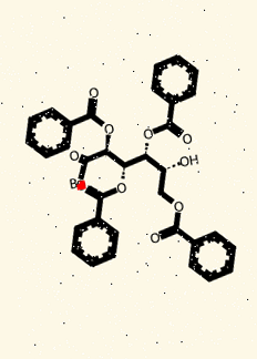 O=C(OC[C@@H](O)[C@@H](OC(=O)c1ccccc1)[C@H](OC(=O)c1ccccc1)[C@H](OC(=O)c1ccccc1)C(=O)Br)c1ccccc1